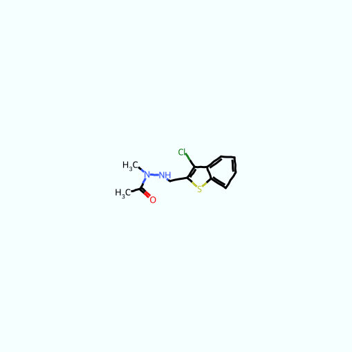 CC(=O)N(C)NCc1sc2ccccc2c1Cl